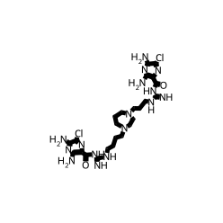 N=C(NCCCCN1CCCN(CCCNC(=N)NC(=O)c2nc(Cl)c(N)nc2N)CC1)NC(=O)c1nc(Cl)c(N)nc1N